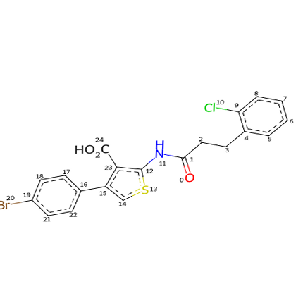 O=C(CCc1ccccc1Cl)Nc1scc(-c2ccc(Br)cc2)c1C(=O)O